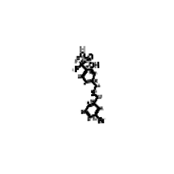 O=P(O)(O)C(F)(F)c1ccc(CSCc2cc[c]c(Br)c2)cc1